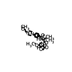 CCO[C@H]1CN(C(=O)[C@@H](NC(=O)c2ccc(N3CCN(CCOC)CC3)cc2)C(C)(C)C)[C@@H]2C(=O)CO[C@H]12